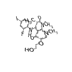 Cc1c(Nc2ccc(I)cc2F)c2c(=O)c(OCCO)cn(C)c2n(C)c1=O